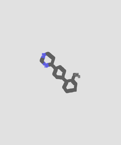 Cc1ccccc1-c1ccc(-c2ccncn2)cc1